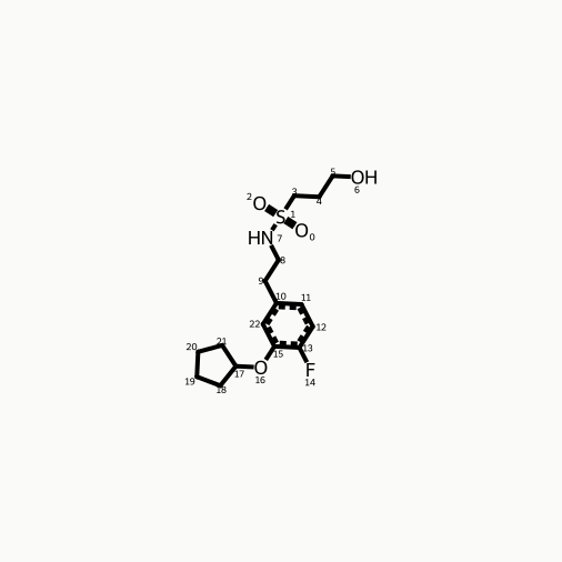 O=S(=O)(CCCO)NCCc1ccc(F)c(OC2CCCC2)c1